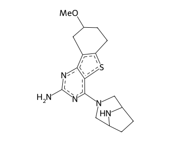 COC1CCc2sc3c(N4CC5CCC(C4)N5)nc(N)nc3c2C1